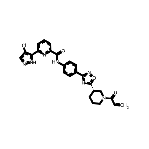 C=CC(=O)N1CCC[C@H](c2nc(-c3ccc(NC(=O)c4cccc(-c5[nH]ncc5Cl)n4)cc3)no2)C1